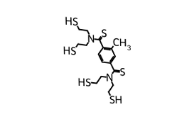 Cc1cc(C(=S)N(CCS)CCS)ccc1C(=S)N(CCS)CCS